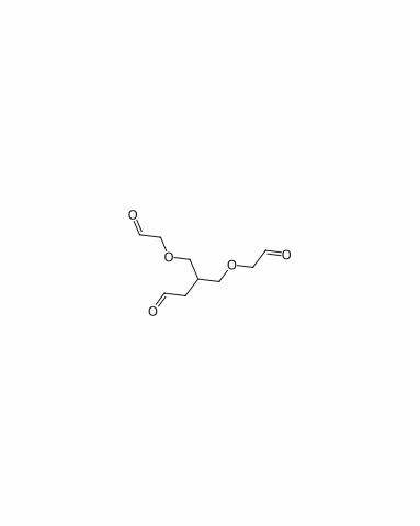 O=CCOCC(CC=O)COCC=O